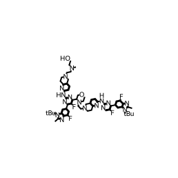 Cc1nc2c(F)cc(-c3nc(Nc4ccc5c(n4)CCN(CCN4CCOCC4c4nc(Nc6ccc7c(n6)CCN(CCN(C)CCO)C7)nc(-c6cc(F)c7nc(C)n(C(C)(C)C)c7c6)c4F)C5)ncc3F)cc2n1C(C)(C)C